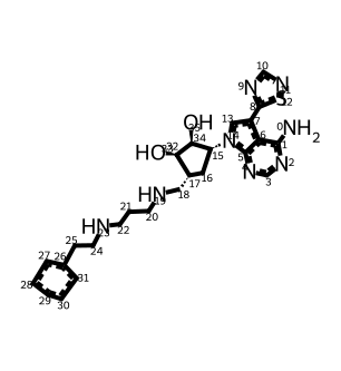 Nc1ncnc2c1c(-c1ncns1)cn2[C@@H]1C[C@H](CNCCCNCCc2ccccc2)[C@@H](O)[C@H]1O